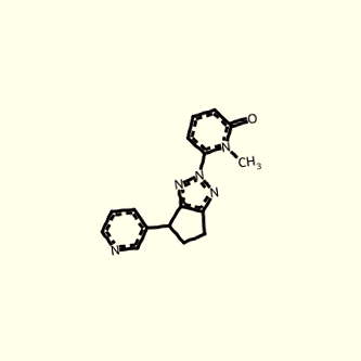 Cn1c(-n2nc3c(n2)C(c2cccnc2)CC3)cccc1=O